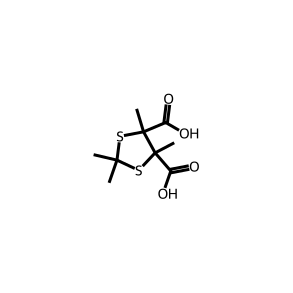 CC1(C)SC(C)(C(=O)O)C(C)(C(=O)O)S1